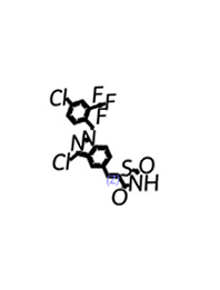 O=C1NC(=O)/C(=C/c2ccc3c(c2)c(Cl)nn3Cc2ccc(Cl)cc2C(F)(F)F)S1